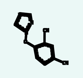 N#Cc1ccc(On2c[c]cn2)c(C#N)c1